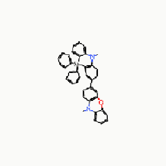 CN1c2ccccc2Oc2cc(-c3ccc4c(c3)[Si](c3ccccc3)(c3ccccc3)c3ccccc3N4C)ccc21